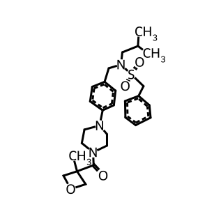 CC(C)CN(Cc1ccc(N2CCN(C(=O)C3(C)COC3)CC2)cc1)S(=O)(=O)Cc1ccccc1